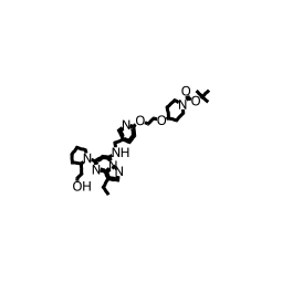 CCc1cnn2c(NCc3ccc(OCCOC4CCN(C(=O)OC(C)(C)C)CC4)nc3)cc(N3CCCCC3CCO)nc12